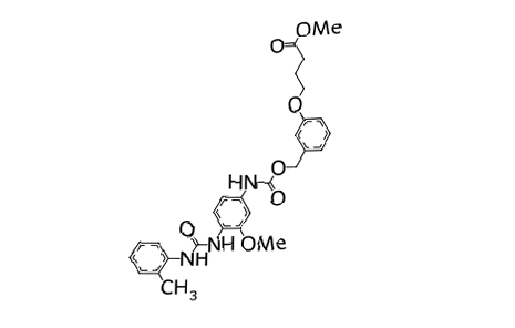 COC(=O)CCCOc1cccc(COC(=O)Nc2ccc(NC(=O)Nc3ccccc3C)c(OC)c2)c1